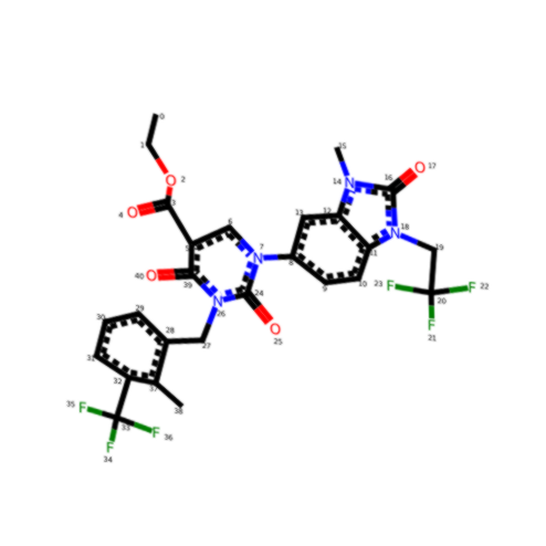 CCOC(=O)c1cn(-c2ccc3c(c2)n(C)c(=O)n3CC(F)(F)F)c(=O)n(Cc2cccc(C(F)(F)F)c2C)c1=O